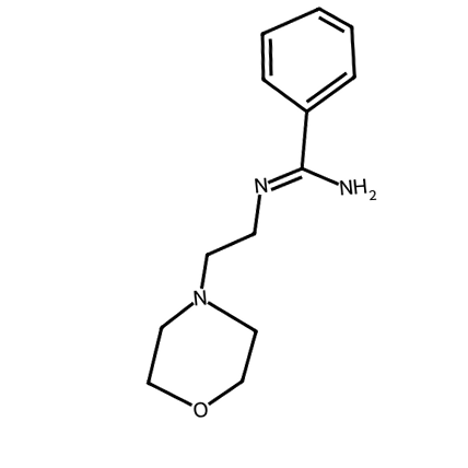 NC(=NCCN1CCOCC1)c1ccccc1